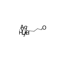 CCCCC=O.[Ag].[LiH].[V]